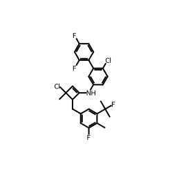 Cc1c(F)cc(CC2C(Nc3ccc(Cl)c(-c4ccc(F)cc4F)c3)=CC2(C)Cl)cc1C(C)(C)F